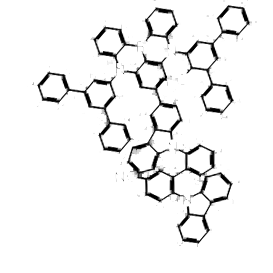 CC1C(N2c3ccccc3B3c4ccccc4N(c4cc(-c5ccccc5)cc(-c5ccccc5)c4)c4cc(-c5ccc6c(c5)c5ccccc5n6-c5ccccc5-c5cc(C#N)ccc5-n5c6ccccc6c6ccccc65)cc2c43)=CC(c2ccccc2)=CC1c1ccccc1